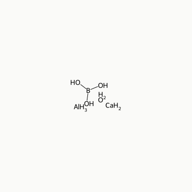 O.OB(O)O.[AlH3].[CaH2]